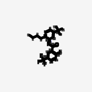 CCCCn1ccc(C(C)(C)C)c/c1=N\C(=O)c1cc(C(F)(F)F)ccc1F